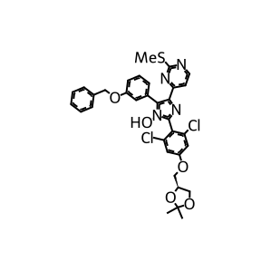 CSc1nccc(-c2nc(-c3c(Cl)cc(OC[C@H]4COC(C)(C)O4)cc3Cl)n(O)c2-c2cccc(OCc3ccccc3)c2)n1